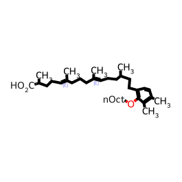 CCCCCCCCOc1c(CCC(C)CC/C=C(\C)CCC/C(C)=C/CCC(C)C(=O)O)ccc(C)c1C